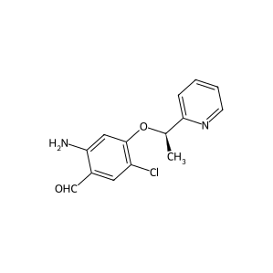 C[C@@H](Oc1cc(N)c(C=O)cc1Cl)c1ccccn1